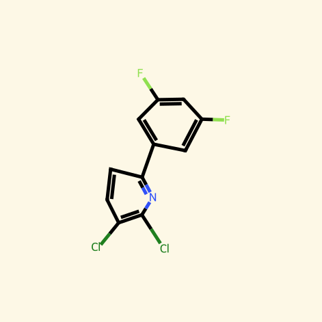 Fc1cc(F)cc(-c2ccc(Cl)c(Cl)n2)c1